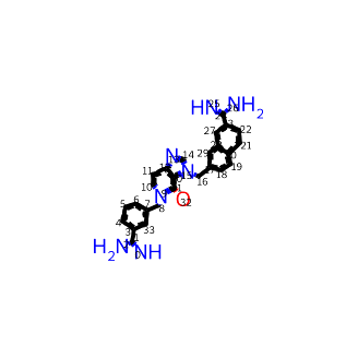 N=C(N)c1cccc(Cn2ccc3ncn(Cc4ccc5ccc(C(=N)N)cc5c4)c3c2=O)c1